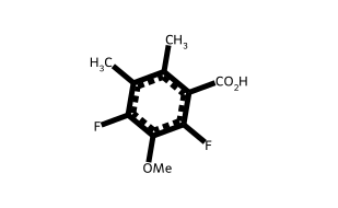 COc1c(F)c(C)c(C)c(C(=O)O)c1F